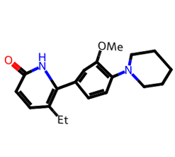 CCc1ccc(=O)[nH]c1-c1ccc(N2CCCCC2)c(OC)c1